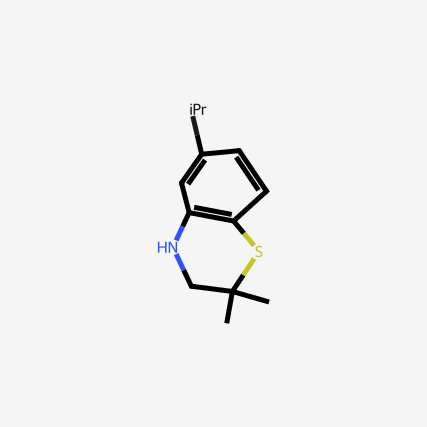 CC(C)c1ccc2c(c1)NCC(C)(C)S2